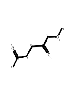 COCC(=O)CCC(C)=O